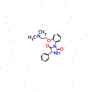 CN(C)CCOc1ccccc1N1C(=O)NC(c2ccccc2)C1=O